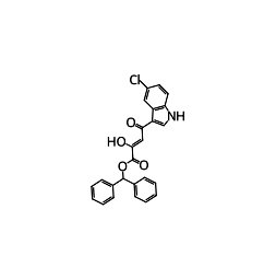 O=C(OC(c1ccccc1)c1ccccc1)/C(O)=C/C(=O)c1c[nH]c2ccc(Cl)cc12